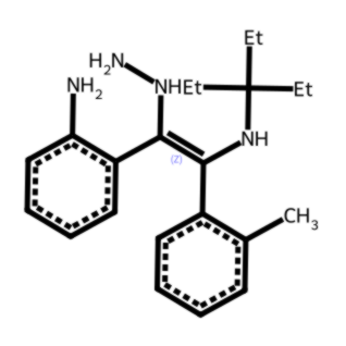 CCC(CC)(CC)N/C(=C(\NN)c1ccccc1N)c1ccccc1C